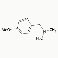 COc1c[c]c(CN(C)C)cc1